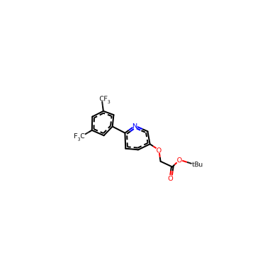 CC(C)(C)OC(=O)COc1ccc(-c2cc(C(F)(F)F)cc(C(F)(F)F)c2)nc1